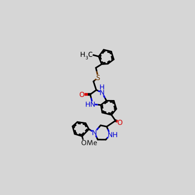 COc1ccccc1N1CCNC(C(=O)c2ccc3c(c2)NC(=O)C(CSCc2ccccc2C)N3)C1